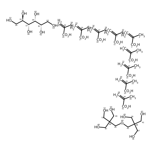 C=C(C)C(=O)O.C=C(C)C(=O)O.C=C(C)C(=O)O.C=C(C)C(=O)O.C=C(C)C(=O)O.C=C(C)C(=O)O.C=C(C)C(=O)O.C=C(C)C(=O)O.C=C(C)C(=O)O.OCC(CO)(CO)COCC(CO)(CO)CO.OC[C@@H](O)[C@@H](O)[C@H](O)[C@@H](O)CO